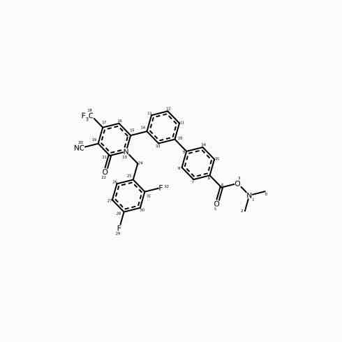 CN(C)OC(=O)c1ccc(-c2cccc(-c3cc(C(F)(F)F)c(C#N)c(=O)n3Cc3ccc(F)cc3F)c2)cc1